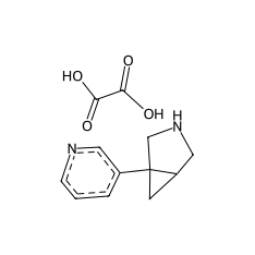 O=C(O)C(=O)O.c1cncc(C23CNCC2C3)c1